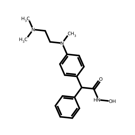 CN(C)CCN(C)c1ccc(C(C(=O)NO)c2ccccc2)cc1